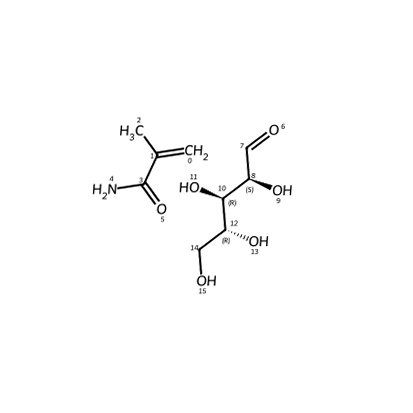 C=C(C)C(N)=O.O=C[C@@H](O)[C@H](O)[C@H](O)CO